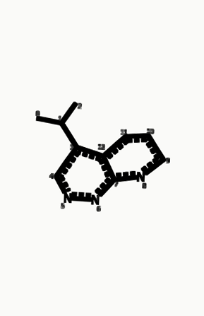 CC(C)c1cnnc2ncccc12